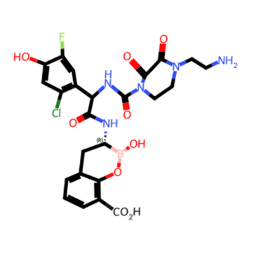 NCCN1CCN(C(=O)NC(C(=O)N[C@H]2Cc3cccc(C(=O)O)c3OB2O)c2cc(F)c(O)cc2Cl)C(=O)C1=O